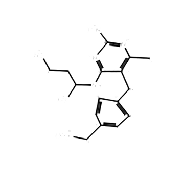 CCCC(CCO)Nc1nc(N)nc(C)c1Cc1ccc(CC(=O)O)cc1